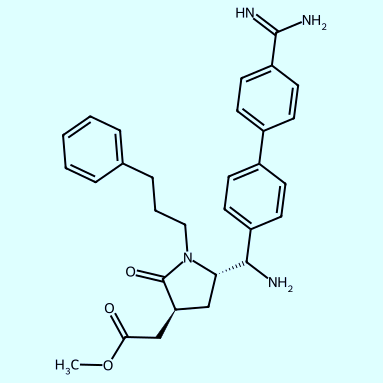 COC(=O)C[C@@H]1C[C@@H](C(N)c2ccc(-c3ccc(C(=N)N)cc3)cc2)N(CCCc2ccccc2)C1=O